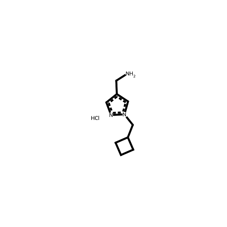 Cl.NCc1cnn(CC2CCC2)c1